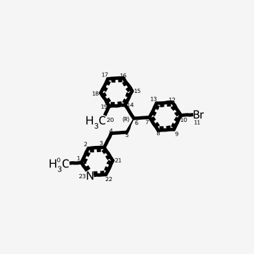 Cc1cc(CC[C@H](c2ccc(Br)cc2)c2ccccc2C)ccn1